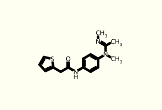 CN=C(C)N(C)c1ccc(NC(=O)Cc2cccs2)cc1